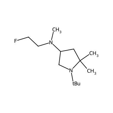 CN(CCF)C1CN(C(C)(C)C)C(C)(C)C1